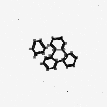 [c]1cccc2c1c1ccccc1c1ccccc21.c1ccncc1